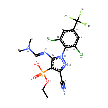 CCOP(=O)(O)c1c(C#N)nn(-c2c(Cl)cc(C(F)(F)F)cc2Cl)c1N=CN(C)C